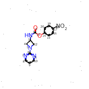 O=C(NC1CN(c2ncccn2)C1)Oc1ccc([N+](=O)[O-])cc1